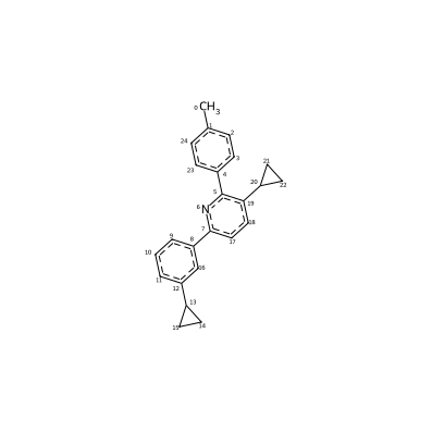 Cc1ccc(-c2nc(-c3cccc(C4CC4)c3)ccc2C2CC2)cc1